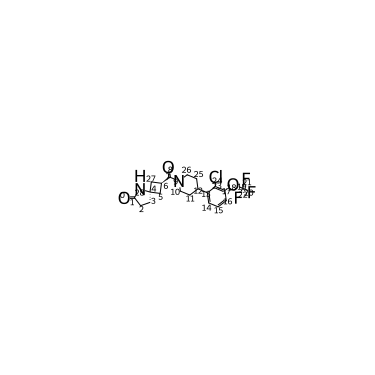 O=C1CC[C@]2(C[C@H](C(=O)N3CCC(c4cccc(OC(F)(F)F)c4Cl)CC3)C2)N1